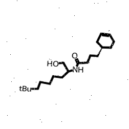 CC(C)(C)CCCCCC(CO)NC(=O)CCC[C@H]1CC=CCC1